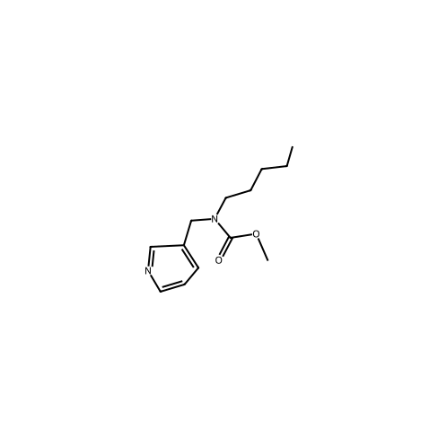 CCCCCN(Cc1cccnc1)C(=O)OC